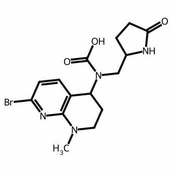 CN1CCC(N(CC2CCC(=O)N2)C(=O)O)c2ccc(Br)nc21